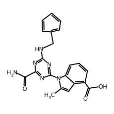 Cc1cc2c(C(=O)O)cccc2n1-c1nc(NCc2ccccc2)nc(C(N)=O)n1